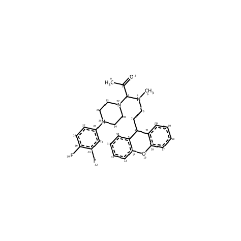 CC(=O)C(N(C)CCC1c2ccccc2Oc2ccccc21)N1CCN(c2ccc(F)c(F)c2)CC1